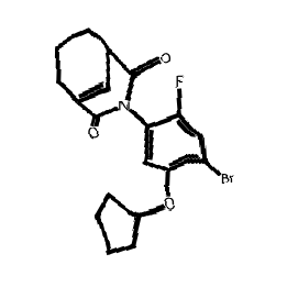 O=C1C2=CC(CCC2)C(=O)N1c1cc(OC2CCCC2)c(Br)cc1F